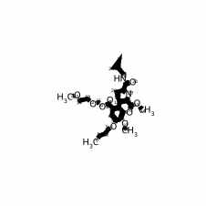 CCCCOc1cc(C(=O)OCOCCOC)c(-c2ccc(C(=O)NCC3CC3)nc2C(=O)OC)cc1OC